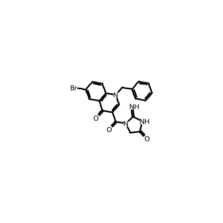 N=C1NC(=O)CN1C(=O)c1cn(Cc2ccccc2)c2ccc(Br)cc2c1=O